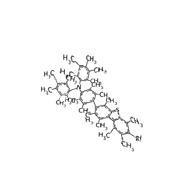 Cc1c(C)c(C)c(N(c2c(C)c(C)c(C)c(C)c2C)c2c(C)c(C)c(-c3c(C)c(C)c4c(sc5c(C)[c]([Rf])c(C)c(C)c54)c3C)c(C)c2C)c(C)c1C